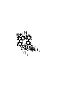 CC(C)(C)C(=O)Nc1cncc(-c2cnc3[nH]nc(-c4nc5c(-c6cc(F)cc(CNS(C)(=O)=O)c6)nccc5[nH]4)c3c2F)c1